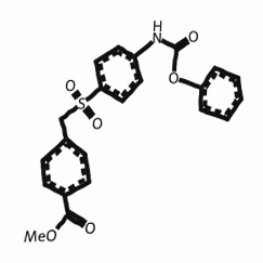 COC(=O)c1ccc(CS(=O)(=O)c2ccc(NC(=O)Oc3ccccc3)cc2)cc1